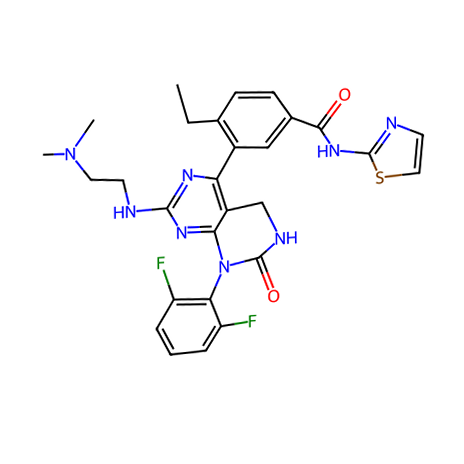 CCc1ccc(C(=O)Nc2nccs2)cc1-c1nc(NCCN(C)C)nc2c1CNC(=O)N2c1c(F)cccc1F